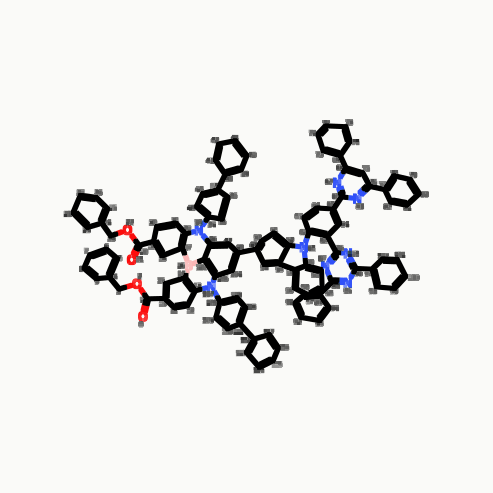 O=C(OCc1ccccc1)c1ccc2c(c1)B1c3cc(C(=O)OCc4ccccc4)ccc3N(c3ccc(-c4ccccc4)cc3)c3cc(-c4ccc5c(c4)c4ccccc4n5-c4ccc(-c5nc(-c6ccccc6)cc(-c6ccccc6)n5)cc4-c4nc(-c5ccccc5)nc(-c5ccccc5)n4)cc(c31)N2c1ccc(-c2ccccc2)cc1